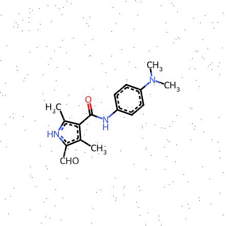 Cc1[nH]c(C=O)c(C)c1C(=O)Nc1ccc(N(C)C)cc1